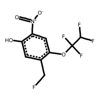 O=[N+]([O-])c1cc(OC(F)(F)C(F)F)c(CF)cc1O